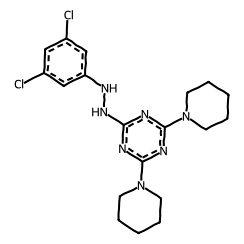 Clc1cc(Cl)cc(NNc2nc(N3CCCCC3)nc(N3CCCCC3)n2)c1